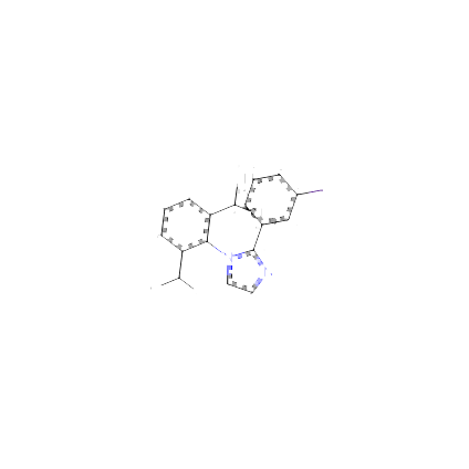 CC(C)c1cccc(C(C)C)c1-n1ccnc1-c1cccc(I)c1